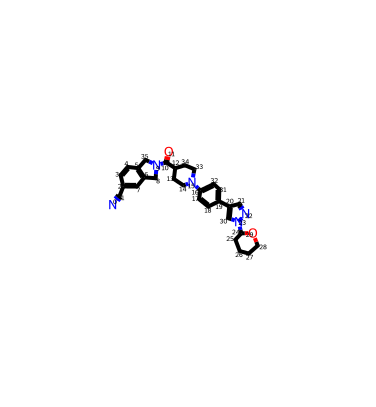 N#Cc1ccc2c(c1)CN(C(=O)C1CCN(c3ccc(-c4cnn(C5CCCCO5)c4)cc3)CC1)C2